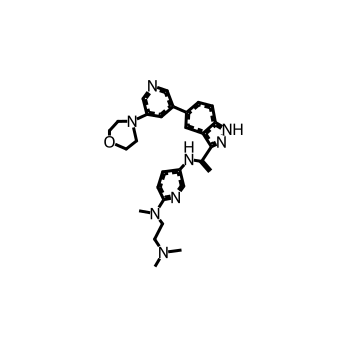 C=C(Nc1ccc(N(C)CCN(C)C)nc1)c1n[nH]c2ccc(-c3cncc(N4CCOCC4)c3)cc12